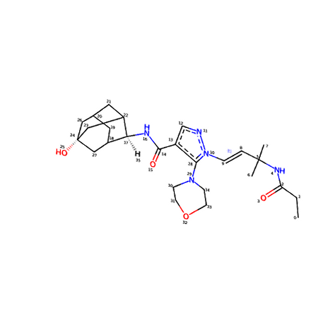 CCC(=O)NC(C)(C)/C=C/n1ncc(C(=O)N[C@H]2C3CC4CC2C[C@](O)(C4)C3)c1N1CCOCC1